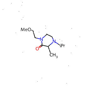 COCCN1CCN(C(C)C)C(C)C1=O